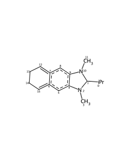 CC(C)C1N(C)c2cc3c(cc2N1C)=CCCC=3